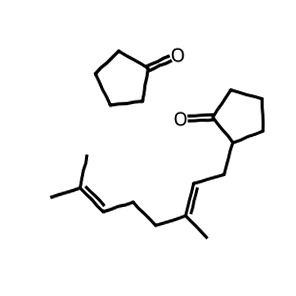 CC(C)=CCC/C(C)=C/CC1CCCC1=O.O=C1CCCC1